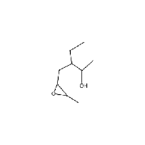 CCC(CC1OC1C)C(C)O